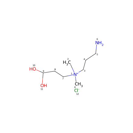 C[N+](C)(CCCN)CCC(O)O.[Cl-]